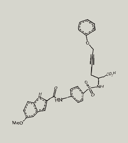 COc1ccc2[nH]c(C(=O)Nc3ccc(S(=O)(=O)NC(CC#CCOc4ccccc4)C(=O)O)cc3)cc2c1